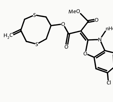 C=C1CSCC(OC(=O)/C(C(=O)OC)=C2\Oc3cc(Cl)ccc3N2CCCCCC)CSC1